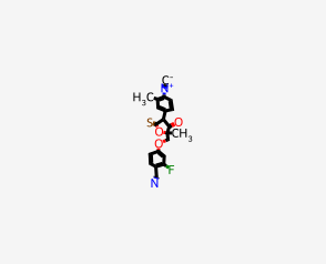 [C-]#[N+]c1ccc(C2C(=O)C(C)(COc3ccc(C#N)c(F)c3)OC2=S)cc1C